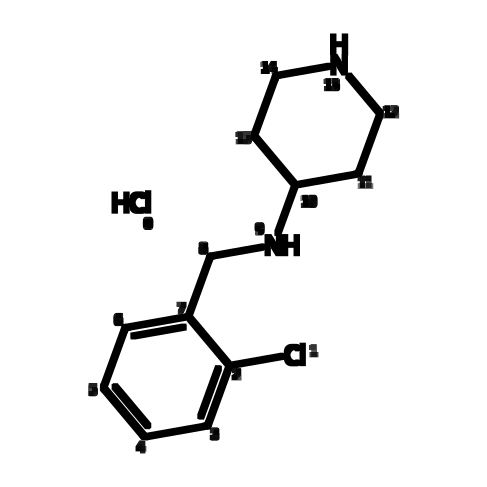 Cl.Clc1ccccc1CNC1CCNCC1